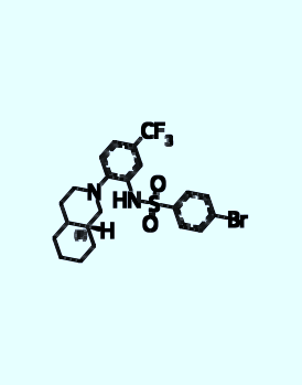 O=S(=O)(Nc1cc(C(F)(F)F)ccc1N1CCC2CCCC[C@H]2C1)c1ccc(Br)cc1